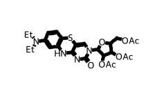 CCN(CC)c1ccc2c(c1)Nc1nc(=O)n(C3OC(COC(C)=O)C(OC(C)=O)C3OC(C)=O)cc1S2